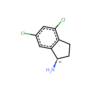 N[C@@H]1CCc2c(Cl)cc(Cl)cc21